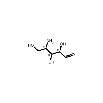 N[C@H](CO)[C@H](O)[C@@H](O)C=O